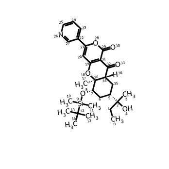 CCC(C)(O)[C@@H]1C[C@H](O[Si](C)(C)C(C)(C)C)[C@@]2(C)Oc3cc(-c4cccnc4)oc(=O)c3C(=O)[C@@H]2C1